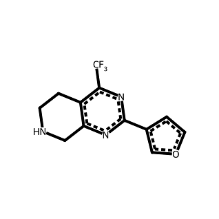 FC(F)(F)c1nc(-c2ccoc2)nc2c1CCNC2